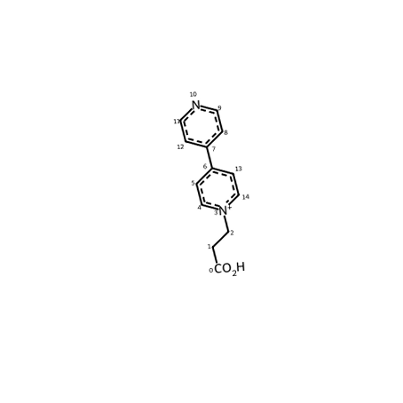 O=C(O)CC[n+]1ccc(-c2ccncc2)cc1